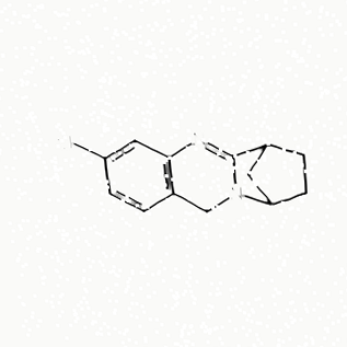 Clc1ccc2c(c1)N=C1C3CCC(C3)N1C2